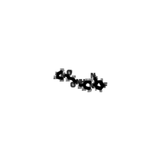 N#Cc1cc(F)ccc1N1CCC(CNC(=O)CCC(=O)N2CCCC2)CC1